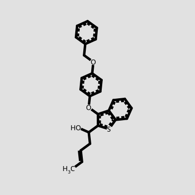 CC=CCC(O)c1sc2ccccc2c1Oc1ccc(OCc2ccccc2)cc1